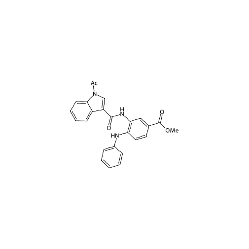 COC(=O)c1ccc(Nc2ccccc2)c(NC(=O)c2cn(C(C)=O)c3ccccc23)c1